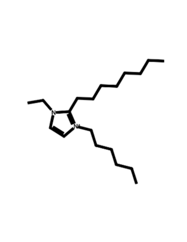 CCCCCCCCc1n(CC)cc[n+]1CCCCCC